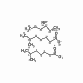 CC(C)CCCCC(=O)[O-].CC(C)CCCCC(=O)[O-].CCCCCC.[Ni+2]